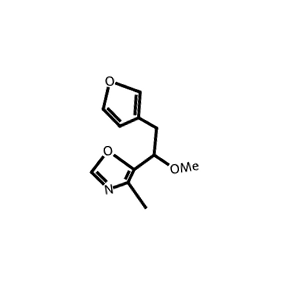 COC(Cc1ccoc1)c1ocnc1C